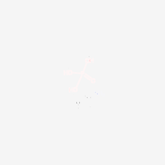 N.O=P(O)(O)O.[MgH2].[NaH]